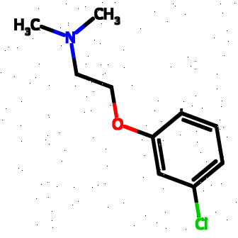 CN(C)CCOc1[c]ccc(Cl)c1